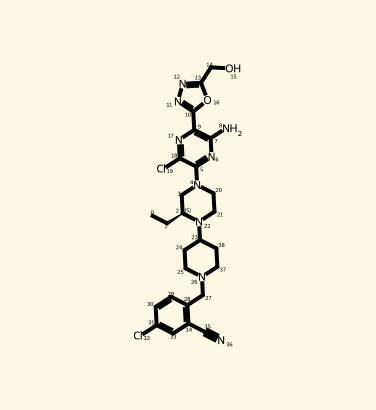 CC[C@H]1CN(c2nc(N)c(-c3nnc(CO)o3)nc2Cl)CCN1C1CCN(Cc2ccc(Cl)cc2C#N)CC1